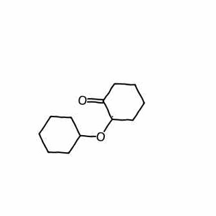 O=C1CCCC[C]1OC1CCCCC1